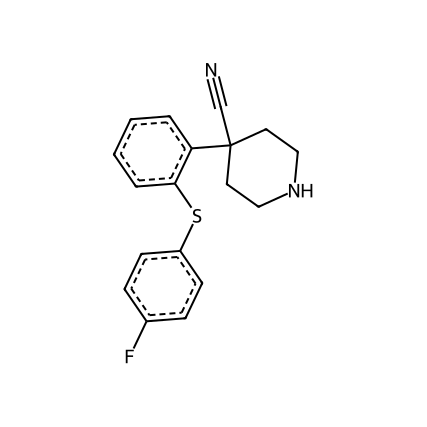 N#CC1(c2ccccc2Sc2ccc(F)cc2)CCNCC1